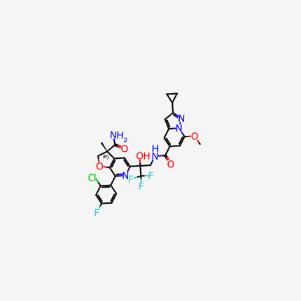 COc1cc(C(=O)NCC(O)(c2cc3c(c(-c4ccc(F)cc4Cl)n2)OC[C@]3(C)C(N)=O)C(F)(F)F)cc2cc(C3CC3)nn12